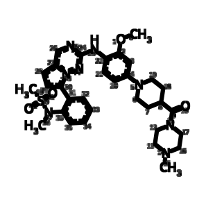 COc1cc(N2CCC(C(=O)N3CCN(C)CC3)CC2)ccc1Nc1ncc2ccc(-c3ccccc3N(C)S(C)(=O)=O)n2n1